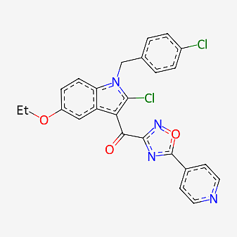 CCOc1ccc2c(c1)c(C(=O)c1noc(-c3ccncc3)n1)c(Cl)n2Cc1ccc(Cl)cc1